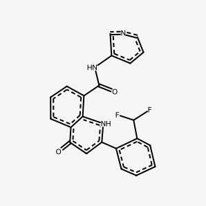 O=C(Nc1cccnc1)c1cccc2c(=O)cc(-c3ccccc3C(F)F)[nH]c12